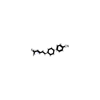 N#Cc1ccc([C@H]2CC[C@H](CC/C=C/C(F)F)CC2)cc1